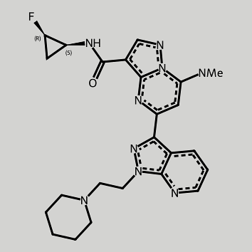 CNc1cc(-c2nn(CCN3CCCCC3)c3ncccc23)nc2c(C(=O)N[C@H]3C[C@H]3F)cnn12